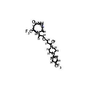 C=C1/C=N\NC(=O)C/C(C(F)(F)F)=C\N1C(C)COCCC(=O)N1CCN(c2ncc(C(F)(F)F)cn2)CC1